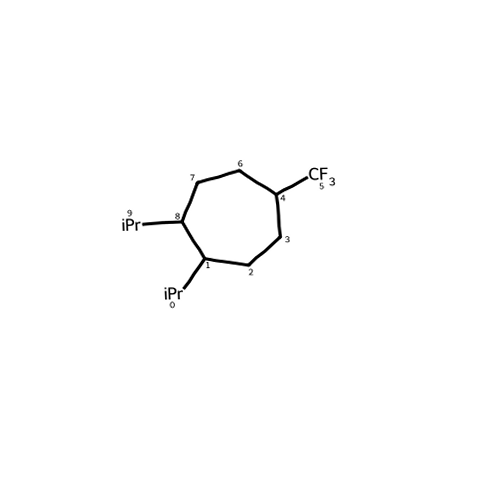 CC(C)C1CCC(C(F)(F)F)CCC1C(C)C